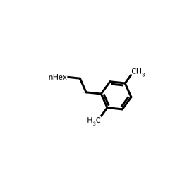 CCCCCCC[CH]c1cc(C)ccc1C